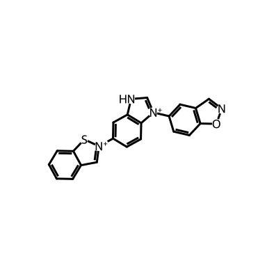 c1ccc2s[n+](-c3ccc4c(c3)[nH]c[n+]4-c3ccc4oncc4c3)cc2c1